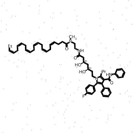 CC/C=C\C/C=C\C/C=C\C/C=C\C/C=C\C/C=C\CCC(=O)N(C)CCNC(=O)C[C@H](O)C[C@H](O)CCn1c(-c2ccc(F)cc2)c(-c2ccccc2)c(C(=O)Nc2ccccc2)c1C(C)C